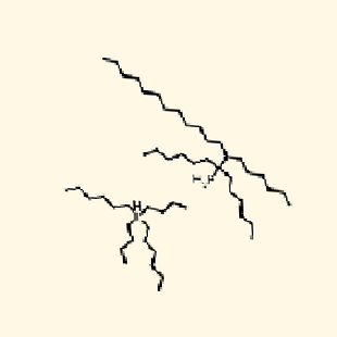 CCCCCCCCCCCCC(CCCCCC)C(P)(CCCCCC)CCCCCC.CCCCCC[PH](CCCC)(CCCC)CCCCCC